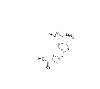 N/C(=N/O)c1ccc(CN2CC(C(=O)O)C2)cc1